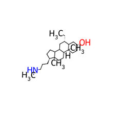 CC[C@H]1CC2C3CC[C@H](CCCNC)C3(C)CC[C@@H]2C2(C)CC[C@@H](O)CC12